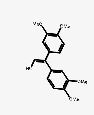 COc1ccc(C(=CC#N)c2ccc(OC)c(OC)c2)cc1OC